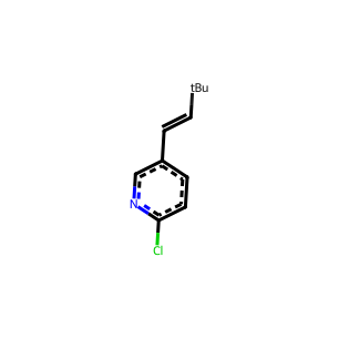 CC(C)(C)/C=C/c1ccc(Cl)nc1